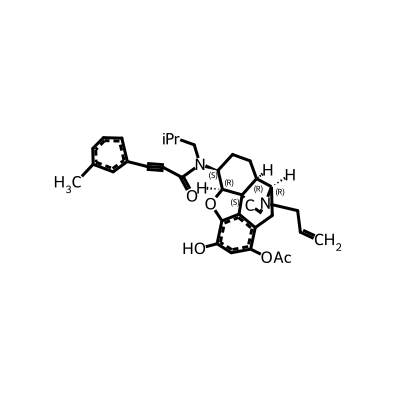 C=CCN1CC[C@]23c4c5c(OC(C)=O)cc(O)c4O[C@H]2[C@@H](N(CC(C)C)C(=O)C#Cc2cccc(C)c2)CC[C@H]3[C@H]1C5